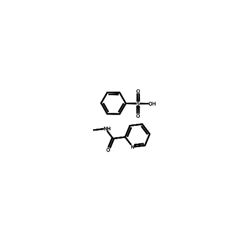 CNC(=O)c1ccccn1.O=S(=O)(O)c1ccccc1